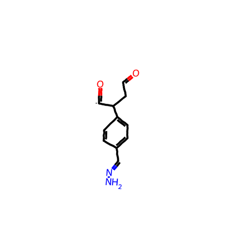 NN=Cc1ccc(C([C]=O)CC=O)cc1